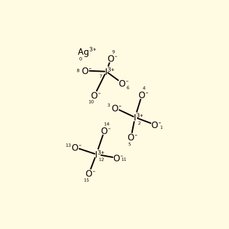 [Ag+3].[O-][I+3]([O-])([O-])[O-].[O-][I+3]([O-])([O-])[O-].[O-][I+3]([O-])([O-])[O-]